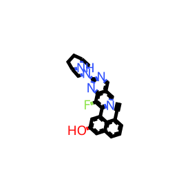 C#Cc1cccc2cc(O)cc(-c3ncc4cnc(N5CC6CCC(C5)N6)nc4c3F)c12